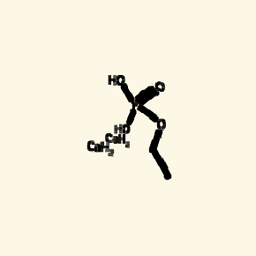 CCOP(=O)(O)O.[CaH2].[CaH2]